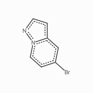 Brc1ccn2nccc2c1